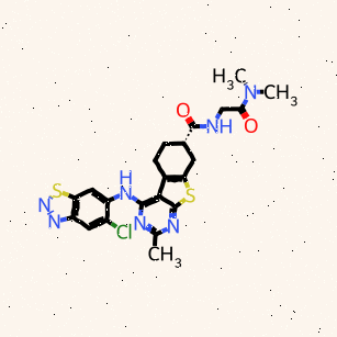 Cc1nc(Nc2cc3snnc3cc2Cl)c2c3c(sc2n1)C[C@@H](C(=O)NCC(=O)N(C)C)CC3